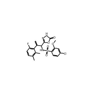 C=C(c1c(F)ccc(C)c1C)C(NS(=O)(=O)c1ccc(Cl)cc1OC)c1n[nH]c(=O)o1